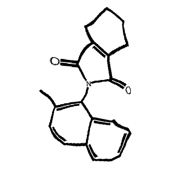 Cc1ccc2ccccc2c1N1C(=O)C2=C(CCCC2)C1=O